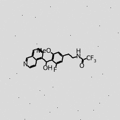 COc1cc(CCNC(=O)C(F)(F)F)cc(F)c1C(O)c1cccc2cnccc12